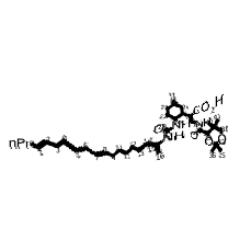 CCCC=CCC=CCC=CCCCCCCC(C)NC(=O)NC1CCCCC1C(CNC(=O)C1OC(C)(C)OCC1(C)C)C(=O)O